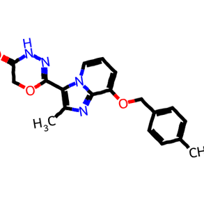 Cc1ccc(COc2cccn3c(C4=NNC(=O)CO4)c(C)nc23)cc1